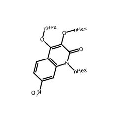 CCCCCCOc1c(OCCCCCC)c2ccc([N+](=O)[O-])cc2n(CCCCCC)c1=O